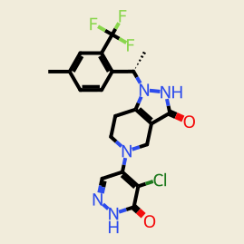 Cc1ccc([C@H](C)n2[nH]c(=O)c3c2CCN(c2cn[nH]c(=O)c2Cl)C3)c(C(F)(F)F)c1